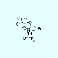 O=C(N[C@H]1CCCN2c3c(ccc(Cl)c3Cl)Oc3cc(Br)ccc3[C@H]12)C(F)(F)F